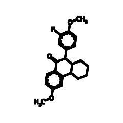 COc1ccc2c(c1)C1CCCCC1C(c1ccc(OC)c(F)c1)C2=O